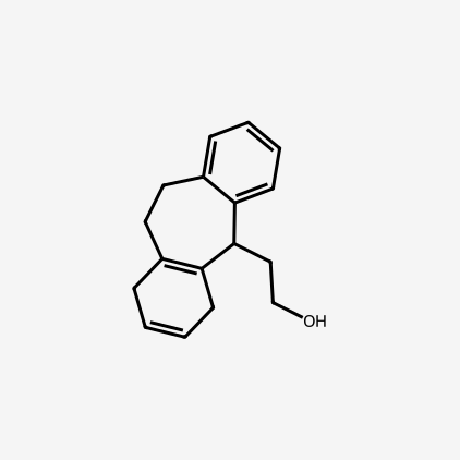 OCCC1C2=C(CC=CC2)CCc2ccccc21